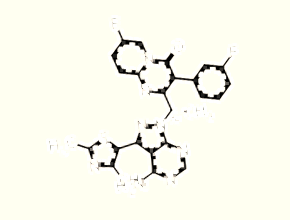 Cc1nc(C)c(-c2nn([C@@H](C)c3nc4ccc(F)cn4c(=O)c3-c3cccc(F)c3)c3ncnc(N)c23)s1